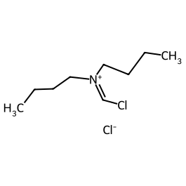 CCCC[N+](=CCl)CCCC.[Cl-]